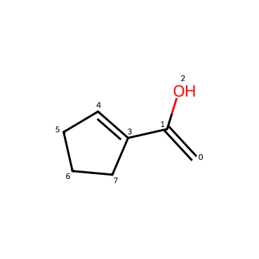 C=C(O)C1=CCCC1